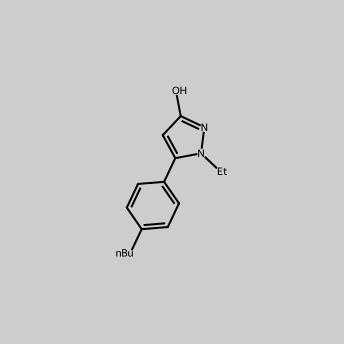 CCCCc1ccc(-c2cc(O)nn2CC)cc1